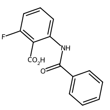 O=C(Nc1cccc(F)c1C(=O)O)c1ccccc1